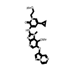 COCCn1cc(C2CC2)cc(Nc2nc3ncc(Oc4cnn5ccncc45)c(OC)c3n2C)c1=O